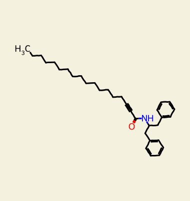 CCCCCCCCCCCCCCCC#CC(=O)NC(Cc1ccccc1)Cc1ccccc1